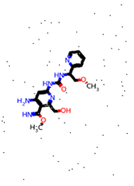 COCC(NC(=O)Nc1cc(N)c(C(=N)OC)c(CO)n1)c1ccccn1